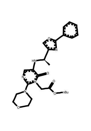 CCCCOC(=O)Cn1c(N2CCOCC2)ncc(N[C@H](C)c2coc(-c3ccccc3)n2)c1=O